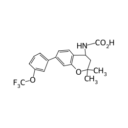 CC1(C)CC(NC(=O)O)c2ccc(-c3cccc(OC(F)(F)F)c3)cc2O1